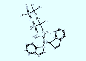 C[SiH](C)[Zr+2]([CH]1C=Cc2ccccc21)[CH]1C=Cc2ccccc21.O=S(=O)([O-])C(F)(F)F.O=S(=O)([O-])C(F)(F)F